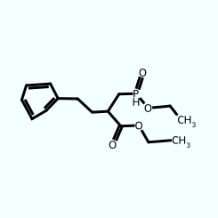 CCOC(=O)C(CCc1ccccc1)C[PH](=O)OCC